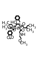 CC[C@H](C)CC(=O)N(NC(=O)CNCCOC)[C@@H](Cc1ccccc1)[C@H](O)CN(CC(C)C)S(=O)(=O)c1ccc2c(c1)OCO2